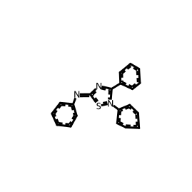 c1ccc(N=c2nc(-c3ccccc3)n(-c3ccccc3)s2)cc1